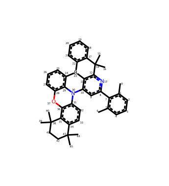 Cc1cccc(C)c1-c1cc2c3c(n1)C(C)(C)c1ccccc1B3c1cccc3c1N2c1ccc2c(c1O3)C(C)(C)CCC2(C)C